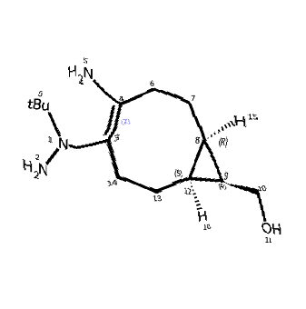 CC(C)(C)N(N)/C1=C(\N)CC[C@H]2[C@@H](CO)[C@H]2CC1